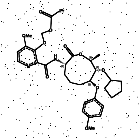 COc1ccc(O[C@H]2CCC[C@H](NC(=O)c3nccc(OC)c3OCOC(=O)C(C)C)C(=O)O[C@@H](C)[C@@H]2OC2CCCC2)cc1